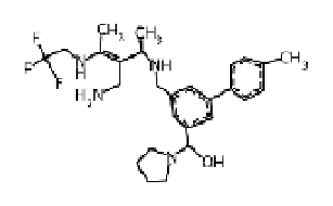 C/C(NCC(F)(F)F)=C(/CN)[C@@H](C)NCc1cc(-c2ccc(C)cc2)cc(C(O)N2CCCC2)c1